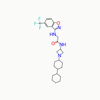 O=C(CNc1noc2ccc(C(F)(F)F)cc12)NC1CN(C2CCC(C3CCCCC3)CC2)C1